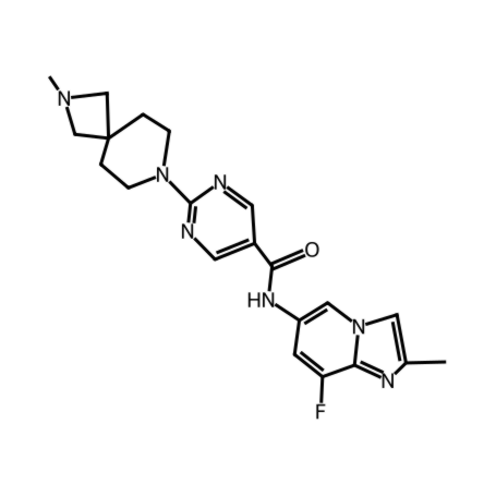 Cc1cn2cc(NC(=O)c3cnc(N4CCC5(CC4)CN(C)C5)nc3)cc(F)c2n1